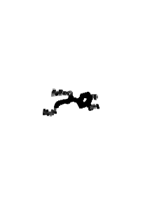 CNCCC(OC)c1ccc([18F])c(O)c1